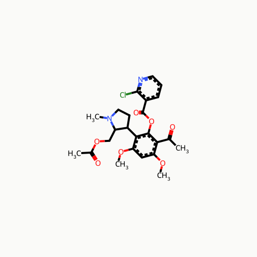 COc1cc(OC)c(C2CCN(C)C2COC(C)=O)c(OC(=O)c2cccnc2Cl)c1C(C)=O